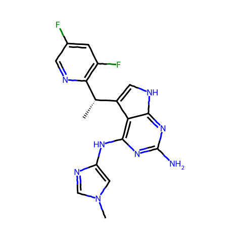 C[C@H](c1ncc(F)cc1F)c1c[nH]c2nc(N)nc(Nc3cn(C)cn3)c12